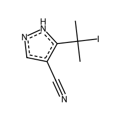 CC(C)(I)c1[nH]ncc1C#N